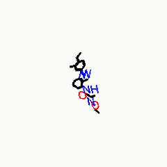 CCO/N=C(\C)C(=O)NC1CCCc2c1cnn2-c1ccc(CC)c(C)c1